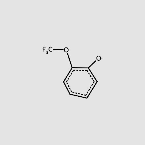 [O]c1ccccc1OC(F)(F)F